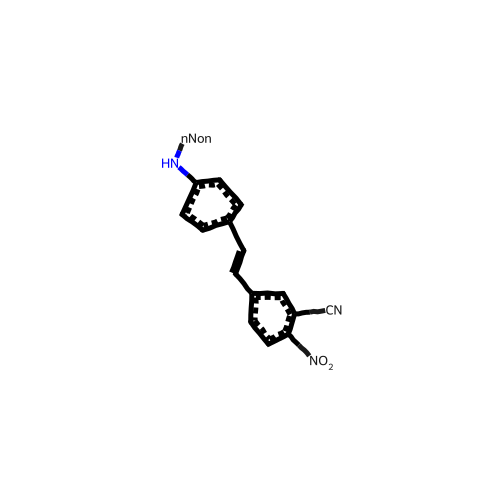 CCCCCCCCCNc1ccc(C=Cc2ccc([N+](=O)[O-])c(C#N)c2)cc1